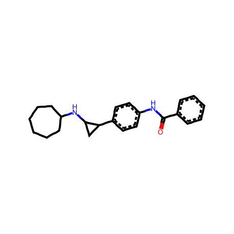 O=C(Nc1ccc(C2CC2NC2CCCCCC2)cc1)c1ccccc1